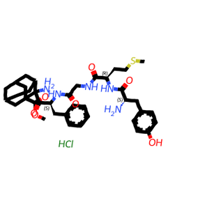 COC(=O)C12CC3CC(CC(C3)C1(N)C(=O)[C@H](Cc1ccccc1)NC(=O)CNC(=O)[C@@H](CCSC)NC(=O)[C@@H](N)Cc1ccc(O)cc1)C2.Cl